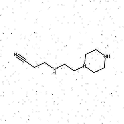 N#CCCNCCN1CCNCC1